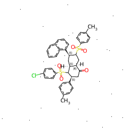 Cc1ccc([C@@H]2CC(=O)[C@@H]3CC(S(=O)(=O)c4ccc(C)cc4)[C@H](c4cccc5ccccc45)C[C@@H]3C2S(=O)(=O)c2ccc(Cl)cc2)cc1